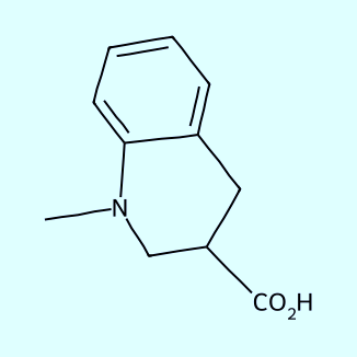 CN1CC(C(=O)O)Cc2ccccc21